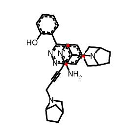 Nc1nnc(-c2ccccc2O)cc1N1CC2CCC(C1)N2c1ccnc(C#CCN2CC3CCC2C3)c1